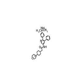 CC(C)(N)c1ccc(-c2ncc(NC(=O)CC3CCC(N4CCOCC4)CC3)cc2-c2ccccc2)cc1